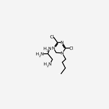 CCCCN1CN=C(Cl)N=C1Cl.NCC(N)N